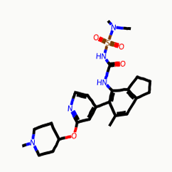 Cc1cc2c(c(NC(=O)NS(=O)(=O)N(C)C)c1-c1ccnc(OC3CCN(C)CC3)c1)CCC2